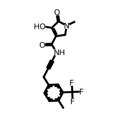 Cc1ccc(CC#CNC(=O)C2=C(O)C(=O)N(C)C2)cc1C(F)(F)F